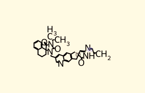 C=C/C=N\C1=C[C@@]2(Cc3cc4cc(CN5C(=O)N(C(C)C)C(=O)C56CCCc5ccccc56)cnc4cc3C2)C(=O)N1